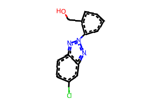 OCc1ccccc1-n1nc2ccc(Cl)cc2n1